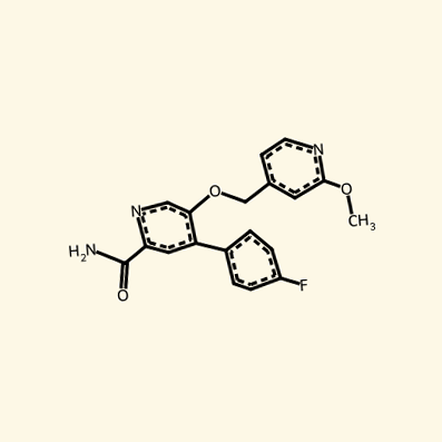 COc1cc(COc2cnc(C(N)=O)cc2-c2ccc(F)cc2)ccn1